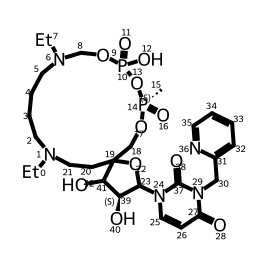 CCN1CCCCN(CC)COP(=O)(O)O[P@@](C)(=O)OCC2(CC1)OC(n1ccc(=O)n(Cc3ccccn3)c1=O)[C@@H](O)C2O